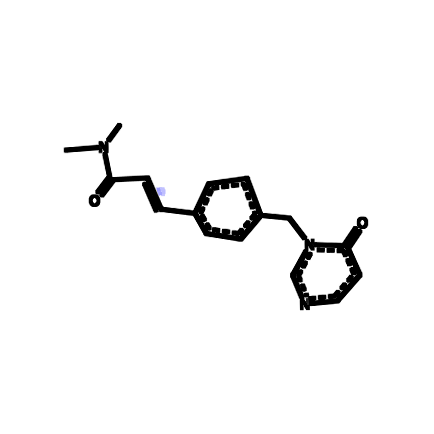 CN(C)C(=O)/C=C/c1ccc(Cn2cnccc2=O)cc1